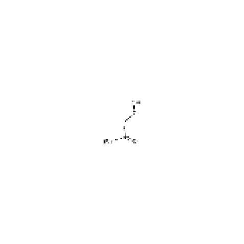 CC(C)(C)OCC(=O)C(C)(C)C